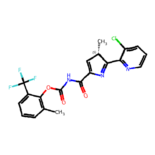 Cc1cccc(C(F)(F)F)c1OC(=O)NC(=O)C1=C[C@H](C)C(c2ncccc2Cl)=N1